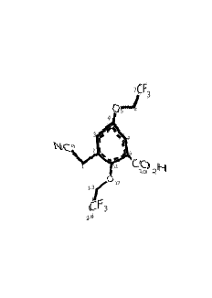 N#CCc1cc(OCC(F)(F)F)cc(C(=O)O)c1OCC(F)(F)F